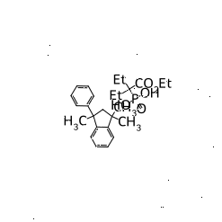 CC1(C)CC(C)(c2ccccc2)c2ccccc21.CCOC(=O)C(CC)(CC)P(=O)(O)O